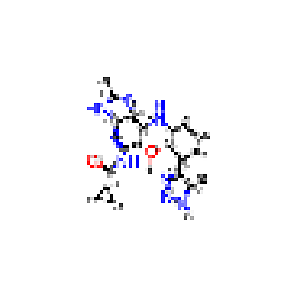 COc1c(Nc2cc(NC(=O)C3CC3)nc3[nH]c(C)nc23)cccc1-c1nnn(C)c1C